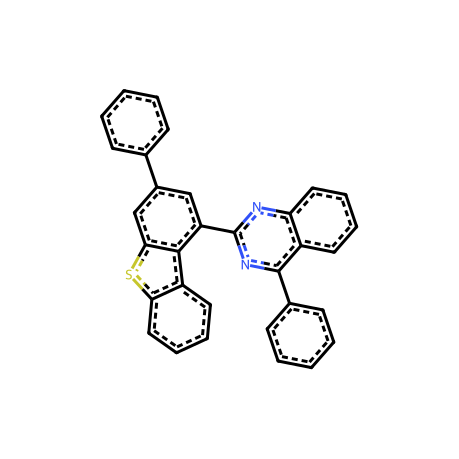 c1ccc(-c2cc(-c3nc(-c4ccccc4)c4ccccc4n3)c3c(c2)sc2ccccc23)cc1